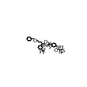 O=C(Nc1ccc2nc(NC(=O)C(CCCOCc3ccccc3)c3cccc(C(F)(F)F)c3)sc2c1)c1cscn1